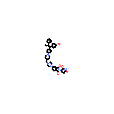 CC/C(=C(/c1ccc(O)cc1)c1ccc(N2CCC(CN3CCN(c4ccc5c(c4)C(=O)N(C4CCC(=O)NC4=O)C5=O)CC3)CC2)cc1)c1ccccc1